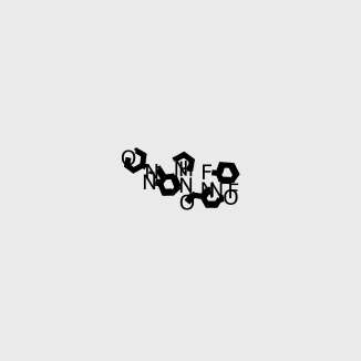 O=C(Nc1ccc2nn(C3CCOCC3)cc2c1N1CCCC1)c1ccc(=O)n(-c2c(F)cccc2F)n1